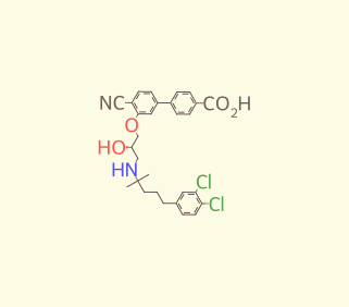 CC(C)(CCCc1ccc(Cl)c(Cl)c1)NC[C@@H](O)COc1cc(-c2ccc(C(=O)O)cc2)ccc1C#N